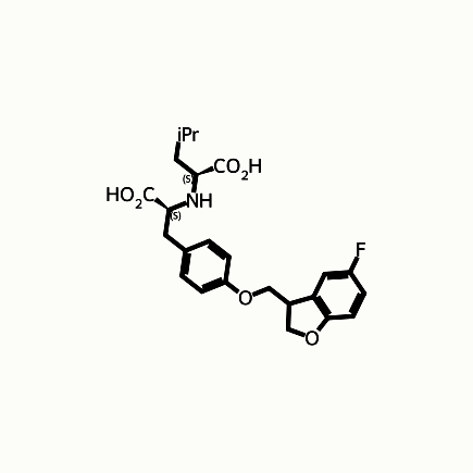 CC(C)C[C@H](N[C@@H](Cc1ccc(OCC2COc3ccc(F)cc32)cc1)C(=O)O)C(=O)O